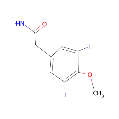 COc1c(I)cc(CC([NH])=O)cc1I